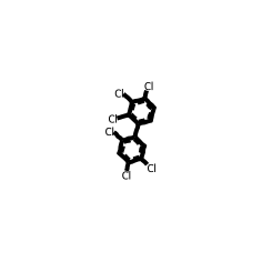 Clc1cc(Cl)c(-c2ccc(Cl)c(Cl)c2Cl)cc1Cl